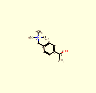 CC(O)c1ccc(C[N+](C)(C)C)cc1